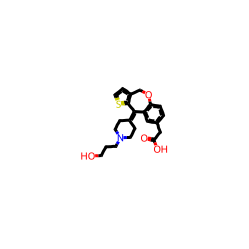 O=C(O)Cc1ccc2c(c1)C(=C1CCN(CCCO)CC1)c1sccc1CO2